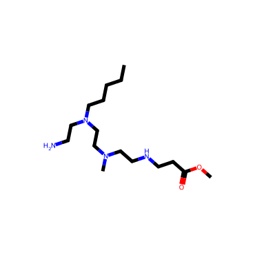 CCCCCN(CCN)CCN(C)CCNCCC(=O)OC